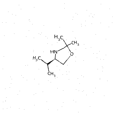 CC(C)[C@@H]1COC(C)(C)N1